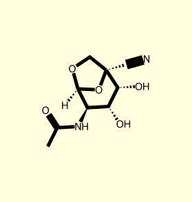 CC(=O)N[C@H]1[C@H]2OC[C@](C#N)(O2)[C@H](O)[C@@H]1O